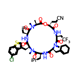 CC(C)C[C@@H]1NC(=O)[C@H](Cc2csc3ccc(Cl)cc23)N(C)C(=O)[C@H](CC(C)C)NC(=O)[C@H](CC2=CCCCC2)N(C)C(=O)[C@H](CC(F)(F)F)NC(=O)[C@@H](CCC#N)OC(=O)[C@H](C)N(C)C1=O